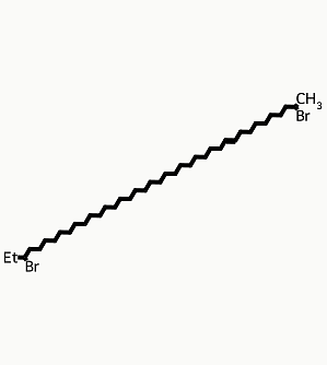 CCC(Br)CCCCCCCCCCCCCCCCCCCCCCCCCC/C=C/CCCCCCCC(C)Br